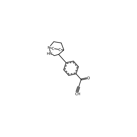 C#CC(=O)c1ccc(C2CNN3CCC2CC3)cc1